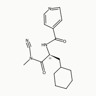 CN(C#N)C(=O)[C@H](CC1CCCCC1)NC(=O)c1ccncc1